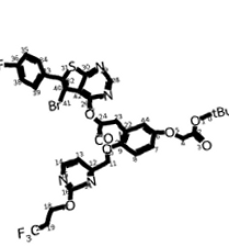 CC(C)(C)OC(=O)COc1ccc(OCc2ccnc(OCCC(F)(F)F)n2)c(CC(Oc2ncnc3sc(-c4ccc(F)cc4)c(Br)c23)C(=O)O)c1